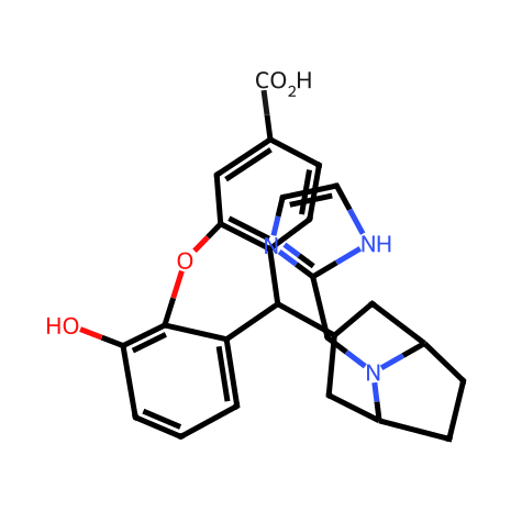 O=C(O)c1ccc2c(c1)Oc1c(O)cccc1C2C1CC2CCC(C1)N2Cc1ncc[nH]1